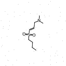 CCCCS(=O)(=O)C=CCN(C)C